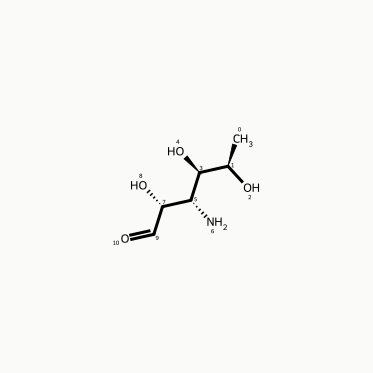 C[C@@H](O)[C@H](O)[C@H](N)[C@@H](O)C=O